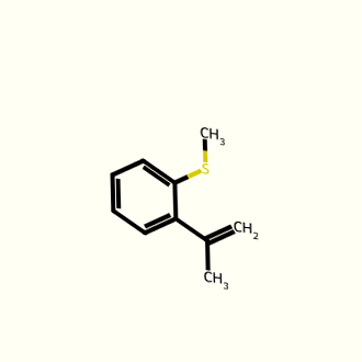 C=C(C)c1ccccc1SC